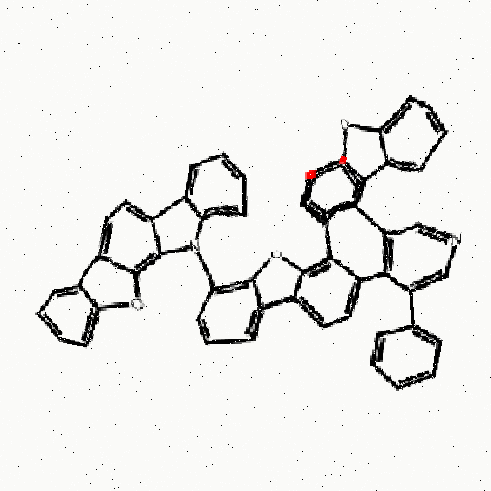 c1ccc(-c2cncc(-c3ccccc3)c2-c2ccc3c(oc4c(-n5c6ccccc6c6ccc7c8ccccc8oc7c65)cccc43)c2-c2ccc3oc4ccccc4c3c2)cc1